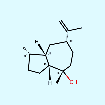 C=C(C)[C@@H]1CC[C@](C)(O)[C@@H]2CC[C@H](C)[C@@H]2C1